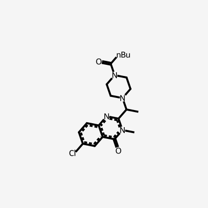 CCCCC(=O)N1CCN(C(C)c2nc3ccc(Cl)cc3c(=O)n2C)CC1